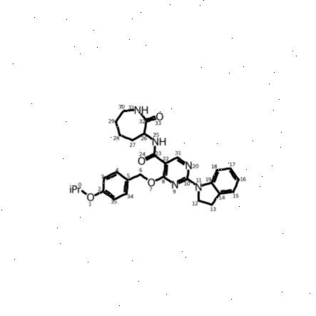 CC(C)Oc1ccc(COc2nc(N3CCc4ccccc43)ncc2C(=O)NC2CCCCNC2=O)cc1